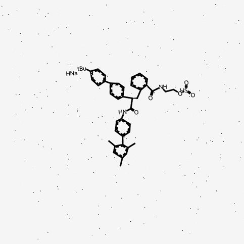 Cc1cc(C)c(-c2ccc(NC(=O)[C@H](Cc3ccccc3C(=O)NCCO[SH](=O)=O)c3ccc(-c4ccc(C(C)(C)C)cc4)cc3)cc2)c(C)c1.[NaH]